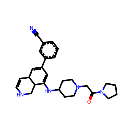 N#Cc1cccc(C2=CC3C=CNCC3C(NC3CCN(CC(=O)N4CCCC4)CC3)=C2)c1